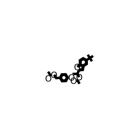 CC(=O)OCc1ccc(OCC(OC(C)=O)c2cc3cc(C(C)(C)C)ccc3o2)cc1